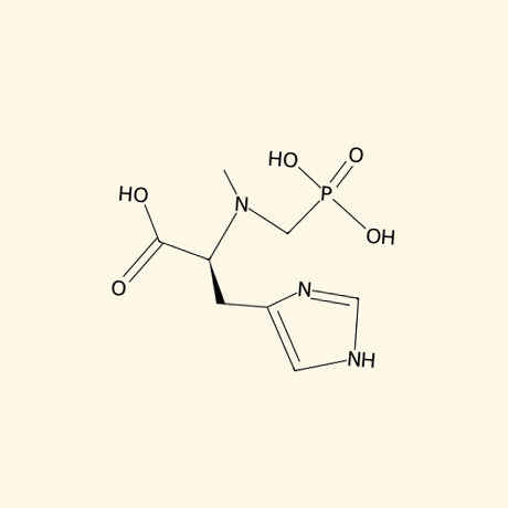 CN(CP(=O)(O)O)[C@@H](Cc1c[nH]cn1)C(=O)O